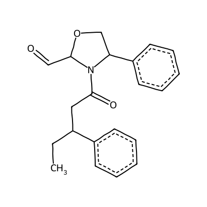 CCC(CC(=O)N1C(C=O)OCC1c1ccccc1)c1ccccc1